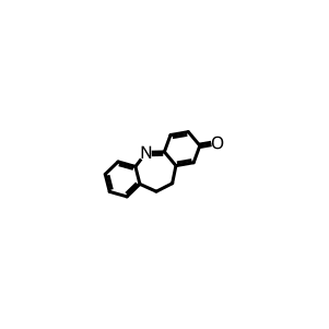 O=C1C=CC2=Nc3ccccc3CCC2=C1